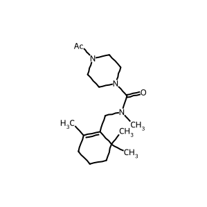 CC(=O)N1CCN(C(=O)N(C)CC2=C(C)CCCC2(C)C)CC1